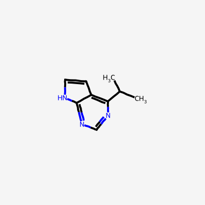 CC(C)c1ncnc2[nH]ccc12